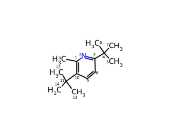 Cc1nc(C(C)(C)C)ccc1C(C)(C)C